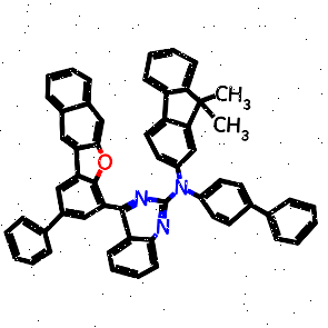 CC1(C)c2ccccc2-c2ccc(N(c3ccc(-c4ccccc4)cc3)c3nc(-c4cc(-c5ccccc5)cc5c4oc4cc6ccccc6cc45)c4ccccc4n3)cc21